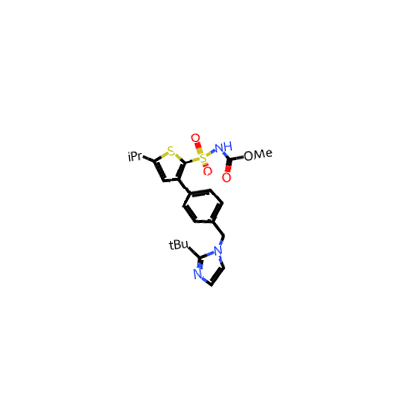 COC(=O)NS(=O)(=O)c1sc(C(C)C)cc1-c1ccc(Cn2ccnc2C(C)(C)C)cc1